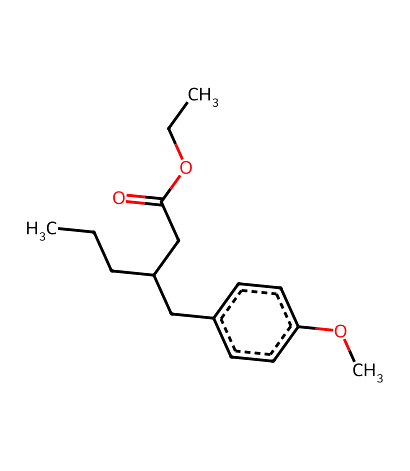 CCCC(CC(=O)OCC)Cc1ccc(OC)cc1